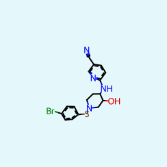 N#Cc1ccc(NC2CCN(Sc3ccc(Br)cc3)CC2O)nc1